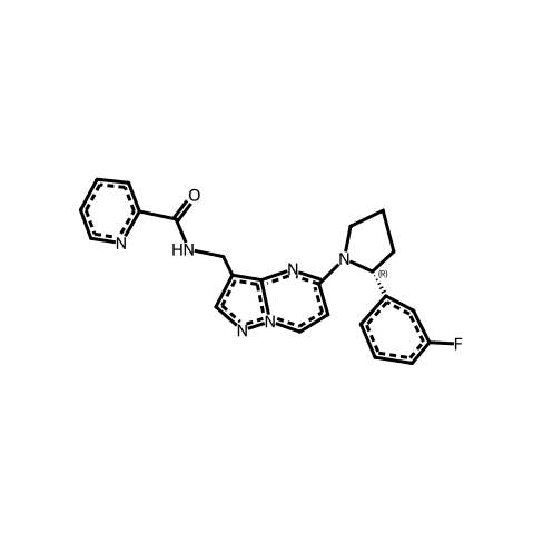 O=C(NCc1cnn2ccc(N3CCC[C@@H]3c3cccc(F)c3)nc12)c1ccccn1